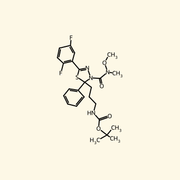 CON(C)C(=O)N1N=C(c2cc(F)ccc2F)SC1(CCCNC(=O)OC(C)(C)C)c1ccccc1